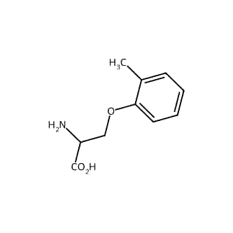 Cc1ccccc1OCC(N)C(=O)O